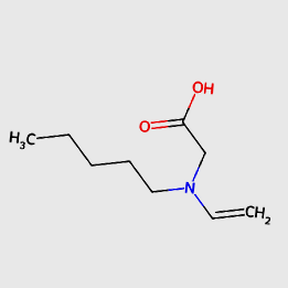 C=CN(CCCCC)CC(=O)O